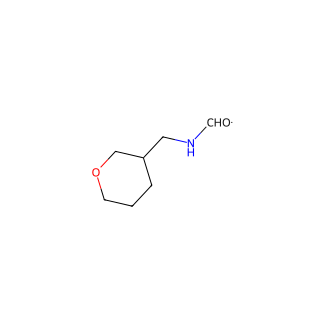 O=[C]NCC1CCCOC1